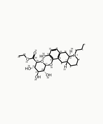 CCCN1CCC[C@@H]2Cc3c(ccc(O)c3O[C@@H]3O[C@H](C(=O)OCC)[C@@H](O)[C@H](O)[C@H]3O)C[C@H]21